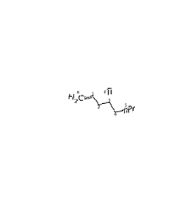 C=CCCCCCC.[Ti]